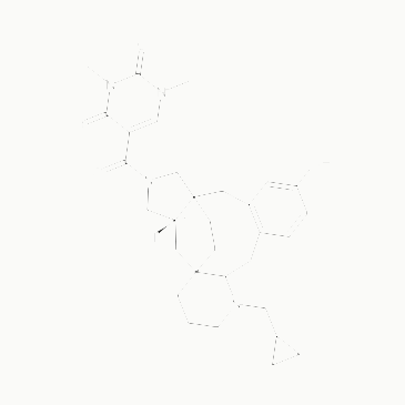 Cn1cc(C(=O)N2C[C@H]3CC45CCCN(CC6CC6)C4Cc4ccc(O)cc4CC3C2CC5)c(=O)n(C)c1=O